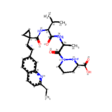 CCc1ccc2ccc(/C=C/C3(C(=O)NC(C(=O)NC(C)C(=O)N4CCCC(C(=O)O)N4)C(C)C)CC3)cc2n1